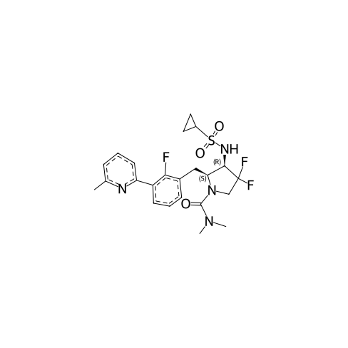 Cc1cccc(-c2cccc(C[C@H]3[C@@H](NS(=O)(=O)C4CC4)C(F)(F)CN3C(=O)N(C)C)c2F)n1